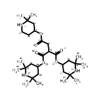 CC1(C)CC(OC(=O)CC(C(=O)OC2CC(C)(C)NC(C)(C)C2)C(=O)OC2CC(C)(C)NC(C)(C)C2)CCN1